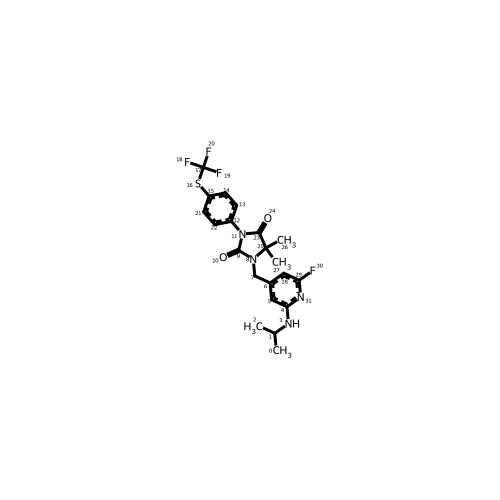 CC(C)Nc1cc(CN2C(=O)N(c3ccc(SC(F)(F)F)cc3)C(=O)C2(C)C)cc(F)n1